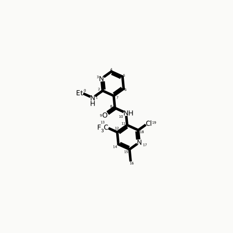 CCNc1ncccc1C(=O)Nc1c(C(F)(F)F)cc(C)nc1Cl